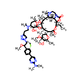 CC[C@H]1OC(=O)[C@H](C)C([C@H]2C[C@@](C)(OC)[C@@H](O)[C@H](C)O2)[C@H](C)[C@@H](O[C@@H]2O[C@H](C)C[C@H](N(C)CCc3cn([C@H](CF)[C@H](OC)c4ccc(-c5cnc(N(C)C)nc5)cc4)nn3)[C@H]2O)[C@](C)(OC)C[C@@H](C)[C@H]2[C@H](C)[C@H]3N(CCN2C)C(=O)O[C@]13C